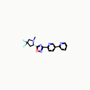 CN1CC(F)(F)C[C@H]1c1nc(-c2ccc(-c3ccccn3)cn2)no1